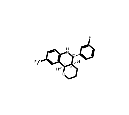 Fc1cccc([C@H]2Nc3ccc(C(F)(F)F)cc3[C@@H]3OCCC[C@H]23)c1